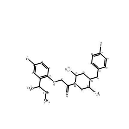 CNC(C)c1cc(Cl)ccc1OCC(=O)N1CC(C)N(Cc2ccc(F)cc2)CC1C